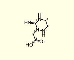 N=C1NCCNN1CC(=O)O